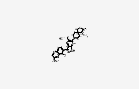 COc1cnc2ccc(-c3n[nH]c4nc(N5CCC6(CC5)CO[C@@H](C)[C@H]6N)c(C)nc34)c(Cl)c2n1.Cl